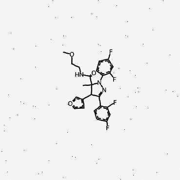 COCCNC(=O)C1(C)C(c2ccoc2)C(c2ccc(F)cc2F)=NN1c1ccc(F)cc1F